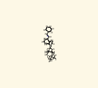 CC(C)(C)[Si]1(C(C)(C)C)OC[C@H]2O[C@@H](n3cnc4c(/C=C/c5ccccc5)ncnc43)C[C@@H]2O1